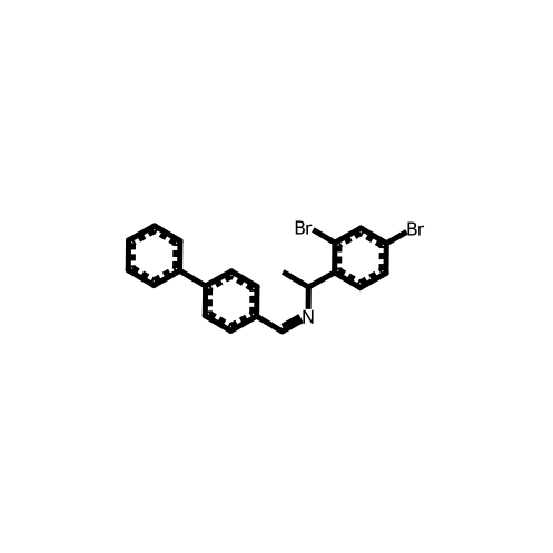 CC(/N=C\c1ccc(-c2ccccc2)cc1)c1ccc(Br)cc1Br